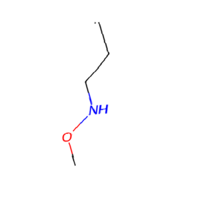 [CH2]CCNOC